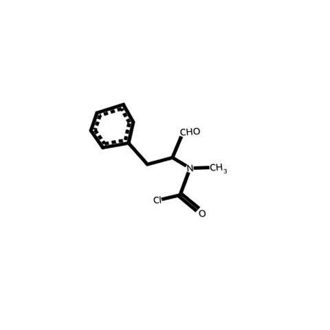 CN(C(=O)Cl)C(C=O)Cc1ccccc1